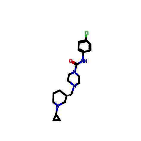 O=C(Nc1ccc(Cl)cc1)N1CCN(C[C@H]2CCCN(C3CC3)C2)CC1